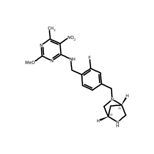 COc1nc(C)c([N+](=O)[O-])c(NCc2ccc(CN3C[C@@H]4C[C@H]3CN4)cc2F)n1